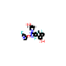 CCc1c(F)ccc2cc(O)cc(-c3c(F)cc4c(N5C[C@@H]6C[C@H](C5)[C@H](O)C6)nc(OC[C@@]56CCCN5C[C@H](F)C6)nc4c3F)c12